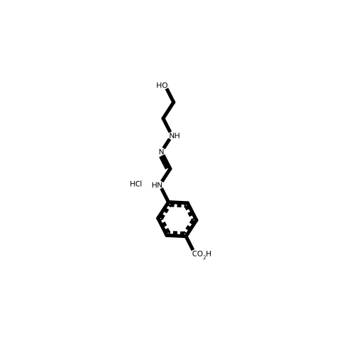 Cl.O=C(O)c1ccc(NC=NNCCO)cc1